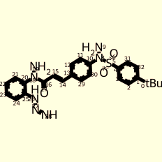 CC(C)(C)c1ccc(S(=O)(=O)N(N)c2ccc(/C=C/C(=O)N(N)c3ccccc3NN=N)cc2)cc1